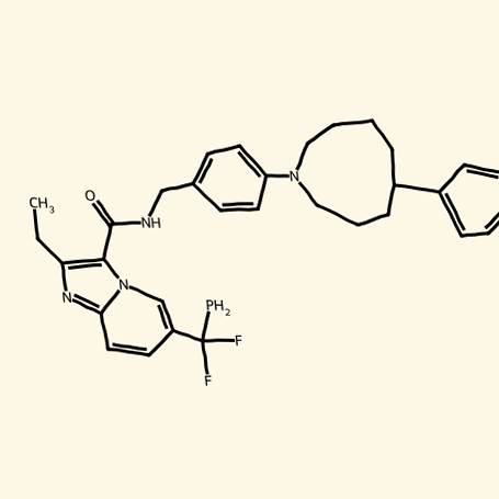 CCc1nc2ccc(C(F)(F)P)cn2c1C(=O)NCc1ccc(N2CCCCC(c3ccccc3)CCC2)cc1